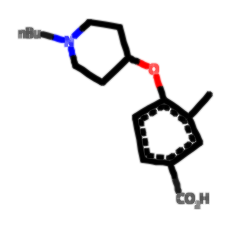 CCCCN1CCC(Oc2ccc(C(=O)O)cc2C)CC1